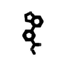 COC(=O)c1cccc(-c2cccc3c2CCO3)c1